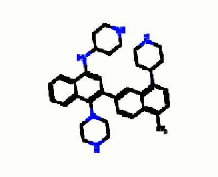 FC(F)(F)c1ccc(C2CCNCC2)c2cc(-c3cc(NC4CCNCC4)c4ccccc4c3N3CCNCC3)ccc12